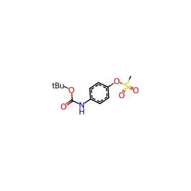 CC(C)(C)OC(=O)Nc1ccc(OS(C)(=O)=O)cc1